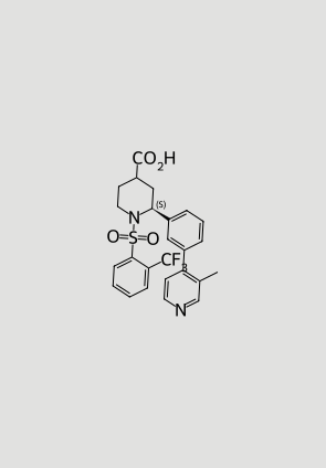 Cc1cnccc1-c1cccc([C@@H]2CC(C(=O)O)CCN2S(=O)(=O)c2ccccc2C(F)(F)F)c1